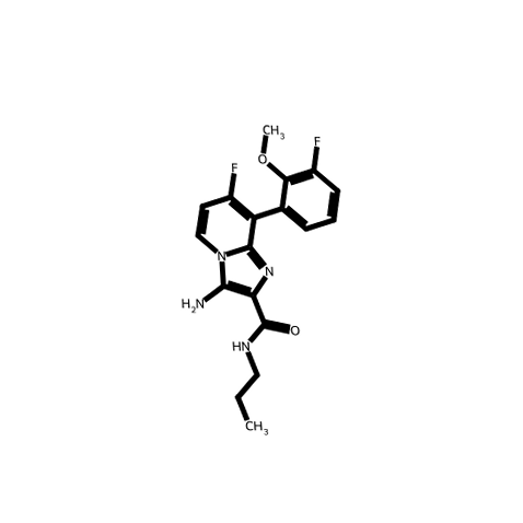 CCCNC(=O)c1nc2c(-c3cccc(F)c3OC)c(F)ccn2c1N